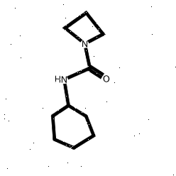 O=C(NC1CCCCC1)N1CCC1